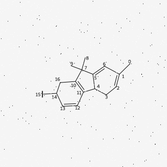 CC1=CCC2C(=C1)C(C)(C)C1=C2C=CC(I)C1